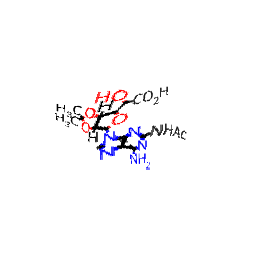 CC(=O)Nc1nc(N)c2ncn([C@@H]3O[C@H](C(O)C(=O)O)[C@H]4OC(C)(C)O[C@H]43)c2n1